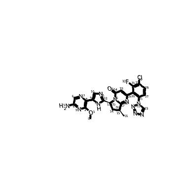 COc1nc(N)cnc1-c1cnc([C@@H]2C[C@H](C)c3nc(-c4c(-n5cnnn5)ccc(Cl)c4F)cc(=O)n32)[nH]1